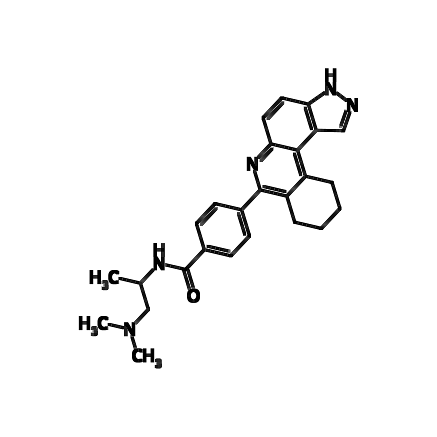 CC(CN(C)C)NC(=O)c1ccc(-c2nc3ccc4[nH]ncc4c3c3c2CCCC3)cc1